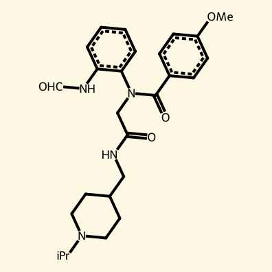 COc1ccc(C(=O)N(CC(=O)NCC2CCN(C(C)C)CC2)c2ccccc2NC=O)cc1